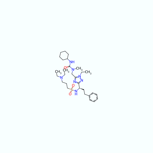 CCN(CC)CCCS(=O)(=O)N[C@H](CCc1ccccc1)c1nc(CN(C)C(=O)NC2CCCCC2)n(CC)n1